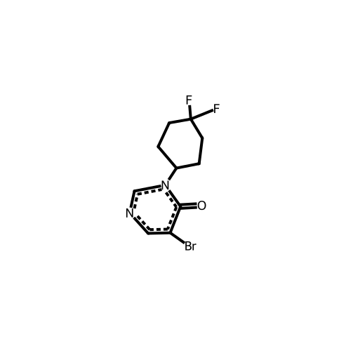 O=c1c(Br)cncn1C1CCC(F)(F)CC1